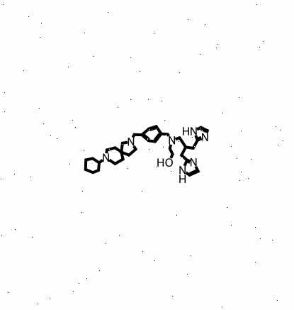 OCCN(Cc1ccc(CN2CCC3(CCN(C4CCCCC4)CC3)C2)cc1)CC(Cc1ncc[nH]1)Cc1ncc[nH]1